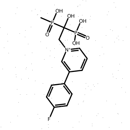 CP(=O)(O)C(O)(C[n+]1cccc(-c2ccc(F)cc2)c1)P(=O)(O)O